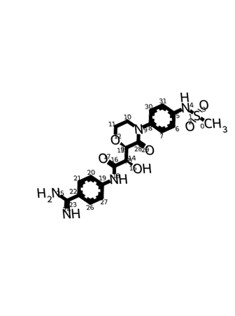 CS(=O)(=O)Nc1ccc(N2CCO[C@H]([C@@H](O)C(=O)Nc3ccc(C(=N)N)cc3)C2=O)cc1